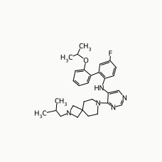 CC(C)CN1CC2(CCN(c3ncncc3Nc3ccc(F)cc3-c3ccccc3OC(C)C)CC2)C1